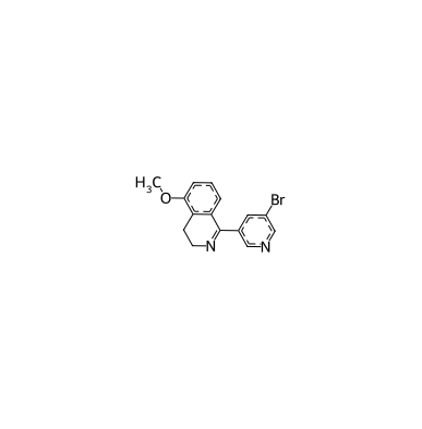 COc1cccc2c1CCN=C2c1cncc(Br)c1